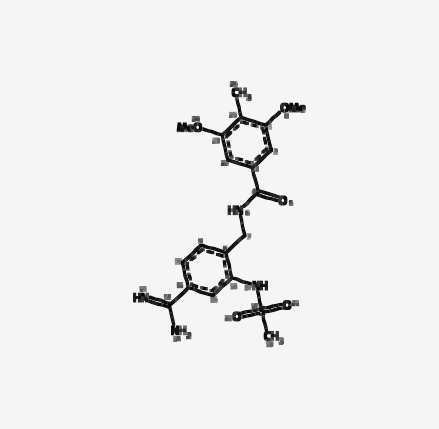 COc1cc(C(=O)NCc2ccc(C(=N)N)cc2NS(C)(=O)=O)cc(OC)c1C